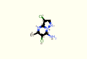 CCc1nc2c(Cl)cnn2c(N)c1Cl